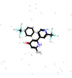 Cc1cc(=O)cc(-c2cc(C(F)(F)F)ncc2[C@H]2CC[C@@H](C(F)(F)F)CC2)[nH]1